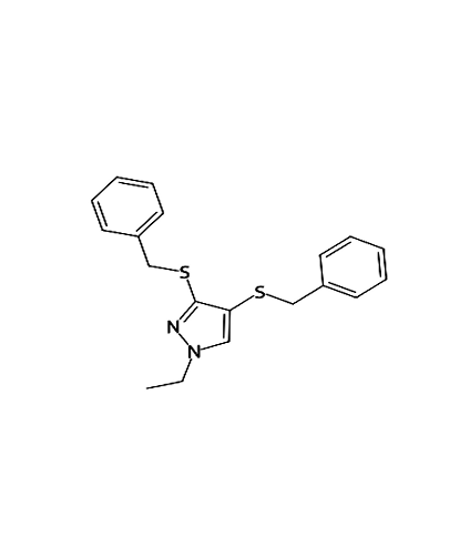 CCn1cc(SCc2ccccc2)c(SCc2ccccc2)n1